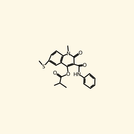 CSc1ccc2c(c1)c(OC(=O)C(C)C)c(C(=O)Nc1ccccc1)c(=O)n2C